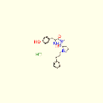 CN(C(=O)[C@@H](N)Cc1ccc(O)cc1)C(=O)[C@@H]1CCCN1CCCc1ccccc1.Cl